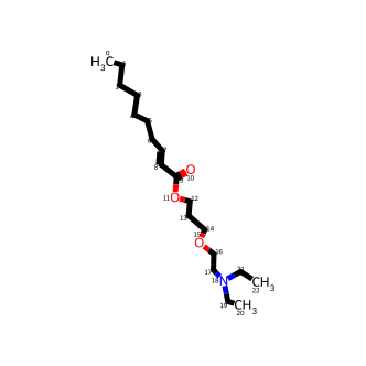 CCCCCCCC=CC(=O)OCCCOCCN(CC)CC